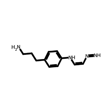 N=N/C=C\Nc1ccc(CCCN)cc1